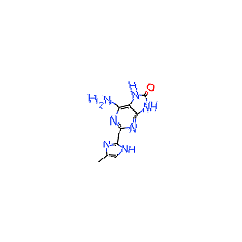 Cc1c[nH]c(-c2nc(N)c3[nH]c(=O)[nH]c3n2)n1